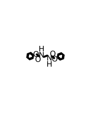 O=C(NCCNC(=O)Oc1ccccc1)Oc1ccccc1